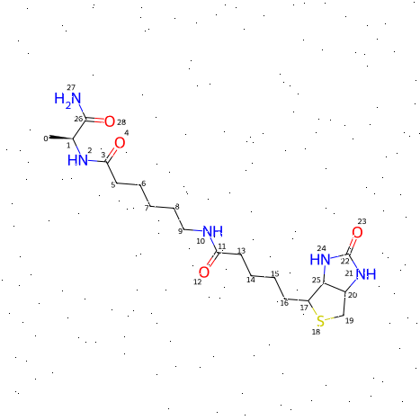 C[C@H](NC(=O)CCCCCNC(=O)CCCCC1SCC2NC(=O)NC21)C(N)=O